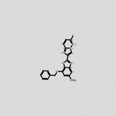 COc1cc(OCc2ccccc2)c2sc(-c3cn4nc(C)ccc4n3)nc2c1